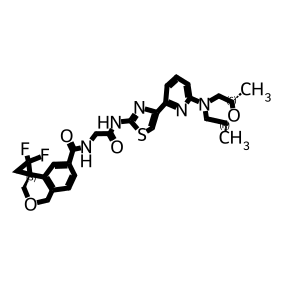 C[C@@H]1CN(c2cccc(-c3csc(NC(=O)CNC(=O)c4ccc5c(c4)[C@]4(COC5)CC4(F)F)n3)n2)C[C@H](C)O1